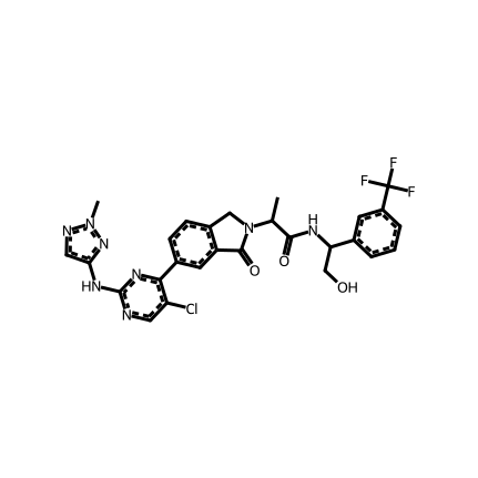 CC(C(=O)NC(CO)c1cccc(C(F)(F)F)c1)N1Cc2ccc(-c3nc(Nc4cnn(C)n4)ncc3Cl)cc2C1=O